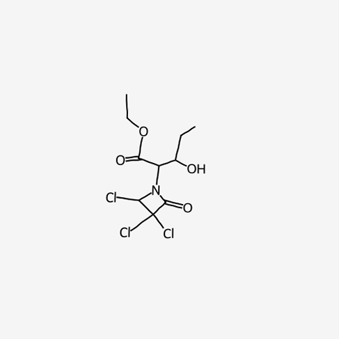 CCOC(=O)C(C(O)CC)N1C(=O)C(Cl)(Cl)C1Cl